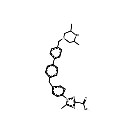 Cc1nc(C(N)=O)nn1-c1ccc(Cc2ccc(-c3ccc(CN4CC(C)NC(C)C4)cc3)cc2)cc1